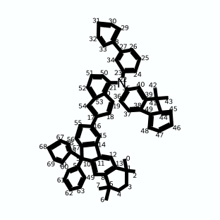 CC1(C)CCC(C)(C)c2cc3c(cc21)-c1cc(-c2ccc4c(N(c5cccc(-c6ccccc6)c5)c5ccc6c(c5)C(C)(C)c5ccccc5-6)cccc4c2)ccc1C3(c1ccccc1)c1ccccc1